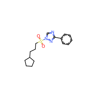 O=S(=O)(CCCC1CCCC1)n1cnc(-c2ccccc2)n1